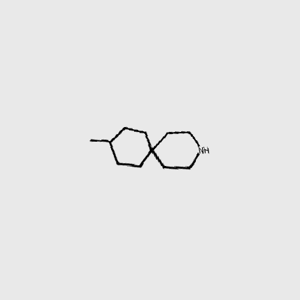 CC1CCC2(CCNCC2)CC1